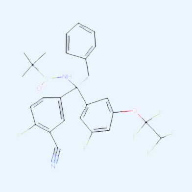 CC(C)(C)[S+]([O-])N[C@@](Cc1ccccc1)(c1cc(F)cc(OC(F)(F)C(F)F)c1)c1ccc(F)c(C#N)c1